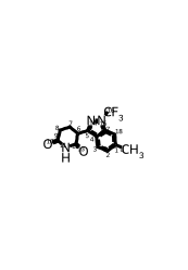 Cc1ccc2c(C3CCC(=O)NC3=O)nn(C(F)(F)F)c2c1